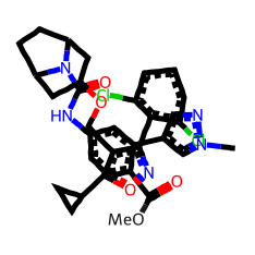 COC(=O)c1ccc(NC(=O)N2C3CCC2CC(OCc2c(-c4c(Cl)cccc4Cl)noc2C2CC2)C3)cc1-c1cnn(C)c1